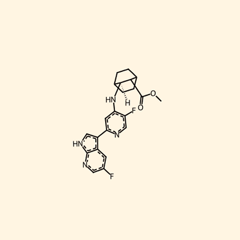 COC(=O)C1C2CCC(CC2)[C@@H]1Nc1cc(-c2c[nH]c3ncc(F)cc23)ncc1F